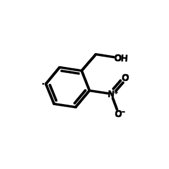 O=[N+]([O-])c1cc[c]cc1CO